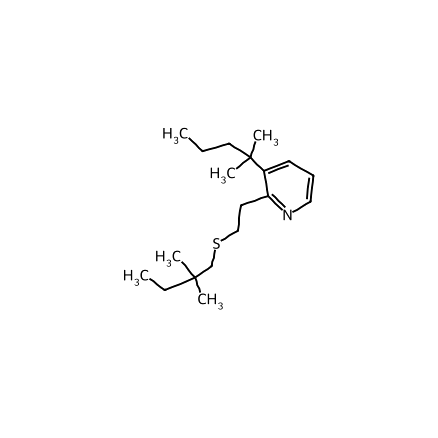 CCCC(C)(C)c1cccnc1CCSCC(C)(C)CC